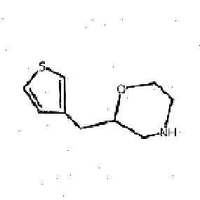 [c]1sccc1CC1CNCCO1